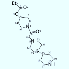 CCC(=O)OC1CCN(C(=O)CN2CCN(C3CCNCC3)CC2)CC1